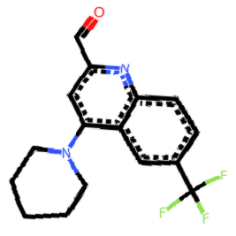 O=Cc1cc(N2CCCCC2)c2cc(C(F)(F)F)ccc2n1